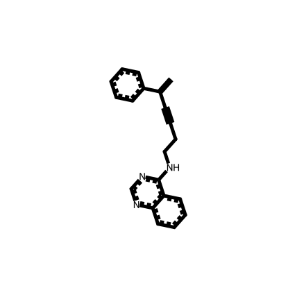 C=C(C#CCCNc1ncnc2ccccc12)c1ccccc1